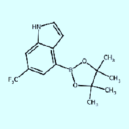 CC1(C)OB(c2cc(C(F)(F)F)cc3[nH]ccc23)OC1(C)C